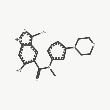 CCCc1n[nH]c2cc(O)c(C(=O)N(C)c3cccc(N4CCOCC4)c3)cc12